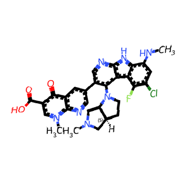 CNc1cc(Cl)c(F)c2c1[nH]c1ncc(-c3cnc4c(c3)c(=O)c(C(=O)O)cn4C)c(N3CC[C@H]4CN(C)CC43)c12